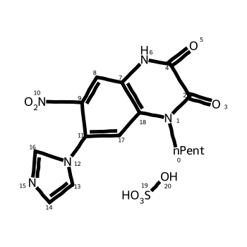 CCCCCn1c(=O)c(=O)[nH]c2cc([N+](=O)[O-])c(-n3ccnc3)cc21.O=S(=O)(O)O